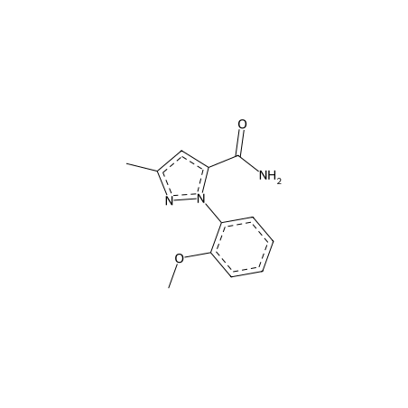 COc1ccccc1-n1nc(C)cc1C(N)=O